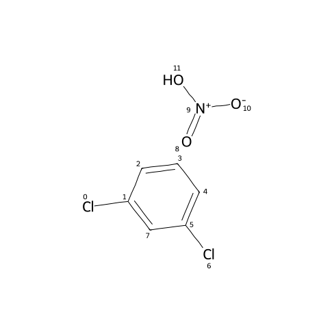 Clc1cccc(Cl)c1.O=[N+]([O-])O